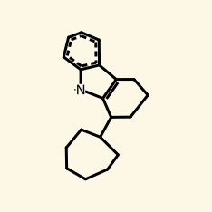 c1ccc2c(c1)[N]C1=C2CCCC1C1CCCCCC1